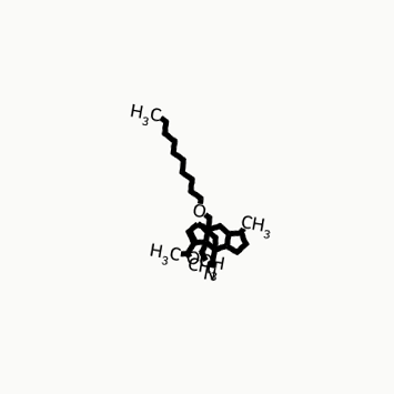 CCCCCCCCCCOCC12CC3C(C)CCC3C3(C#N)CC1C=C(C(C)C)C32C(=O)O